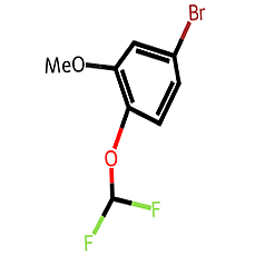 COc1cc(Br)ccc1OC(F)F